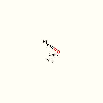 [GaH3].[Hf].[InH3].[O]=[Zn]